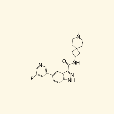 CN1CCC2(CC1)CC(NC(=O)c1n[nH]c3ccc(-c4cncc(F)c4)cc13)C2